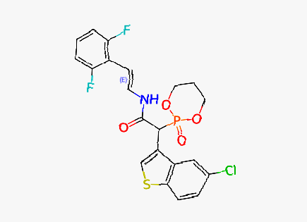 O=C(N/C=C/c1c(F)cccc1F)C(c1csc2ccc(Cl)cc12)P1(=O)OCCCO1